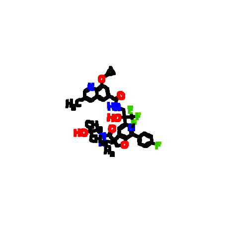 Cc1cnc2c(OC3CC3)cc(C(=O)NCC(O)(c3cc4c(c(-c5ccc(F)cc5)n3)OC[C@]4(C)C(=O)NCC(C)(C)O)C(F)(F)F)cc2c1